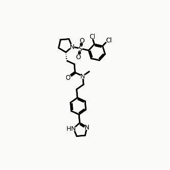 CN(CCc1ccc(C2=NCCN2)cc1)C(=O)CC[C@@H]1CCCN1S(=O)(=O)c1cccc(Cl)c1Cl